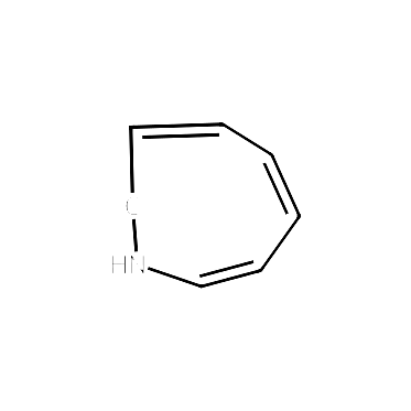 C1=CC=CNCC=C1